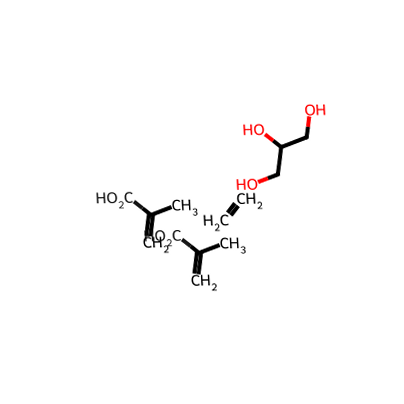 C=C.C=C(C)C(=O)O.C=C(C)C(=O)O.OCC(O)CO